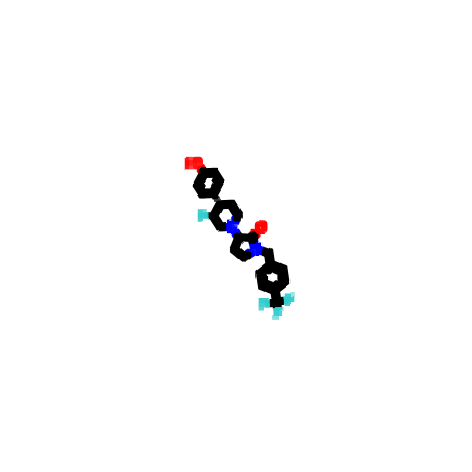 O=C1C(N2CC[C@@H](c3ccc(O)cc3)[C@H](F)C2)CCN1Cc1ccc(C(F)(F)F)cc1